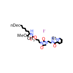 CCCCCCCCCCCCCCCC(NC(=O)OCCCN1C(=O)CN(CCNC(=O)c2cccc[n+]2CC)C1=O)C(C)OC.[I-]